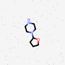 C1COC(N2CCNCC2)C1